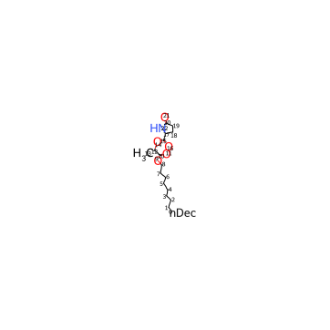 CCCCCCCCCCCCCCCCCCOC(=O)C(C)OC(=O)[C@@H]1CCC(=O)N1